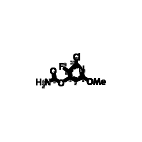 COc1cc(OC(N)=O)c(F)c(Cl)n1